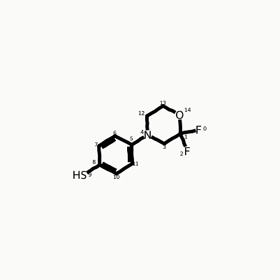 FC1(F)CN(c2ccc(S)cc2)CCO1